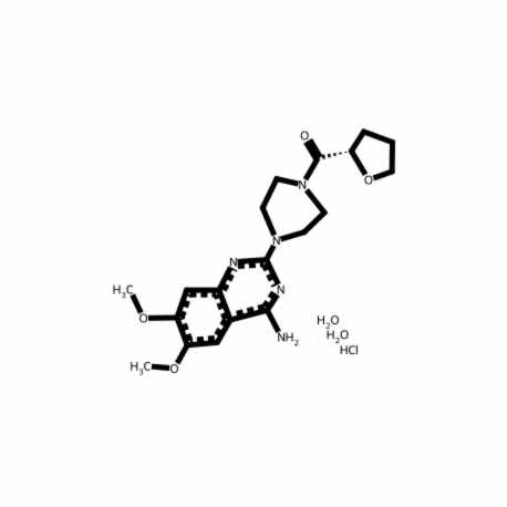 COc1cc2nc(N3CCN(C(=O)[C@@H]4CCCO4)CC3)nc(N)c2cc1OC.Cl.O.O